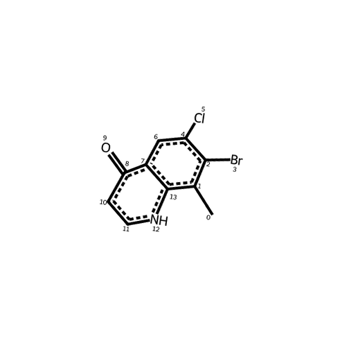 Cc1c(Br)c(Cl)cc2c(=O)cc[nH]c12